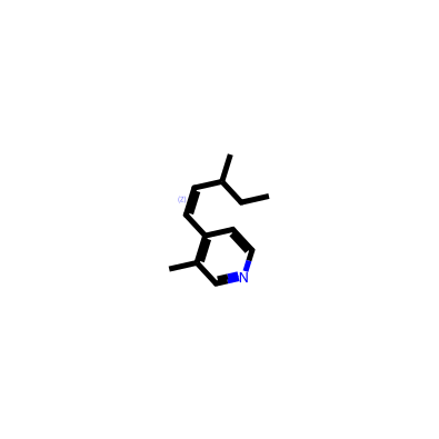 CCC(C)/C=C\c1ccncc1C